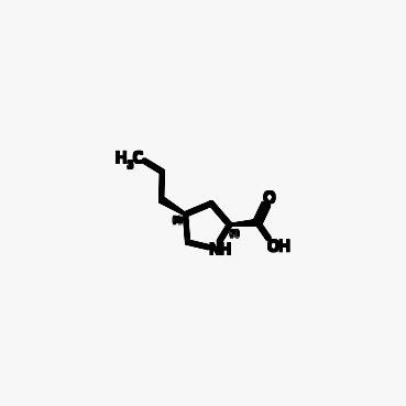 CCC[C@@H]1CN[C@H](C(=O)O)C1